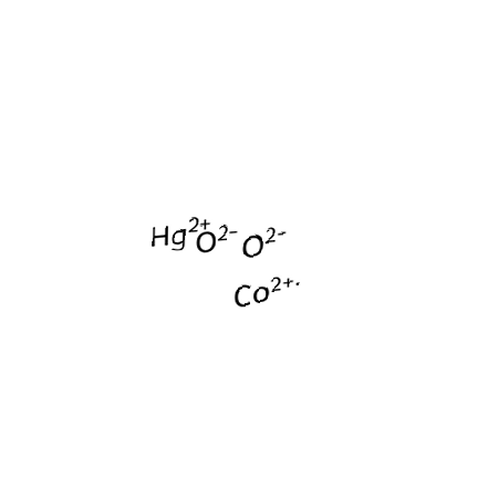 [Co+2].[Hg+2].[O-2].[O-2]